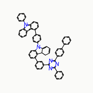 C1=CCC2C(=C1)N(c1ccc(-c3cccc4c3c3ccccc3n4-c3ccccc3)cc1)c1cccc(-c3cccc(-c4nc(-c5ccccc5)nc(-c5ccc(-c6ccccc6)cc5)n4)c3)c12